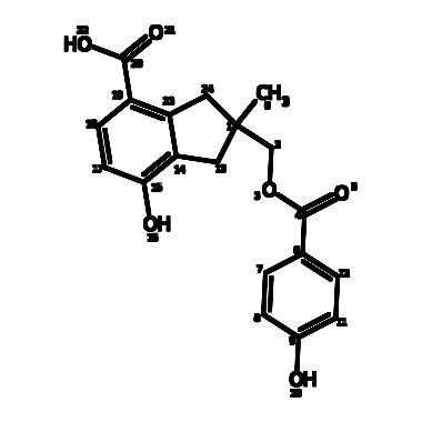 CC1(COC(=O)c2ccc(O)cc2)Cc2c(O)ccc(C(=O)O)c2C1